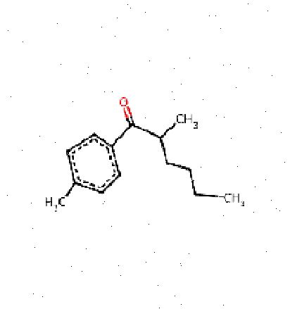 CCCCC(C)C(=O)c1ccc(C)cc1